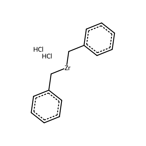 Cl.Cl.c1ccc([CH2][Zr][CH2]c2ccccc2)cc1